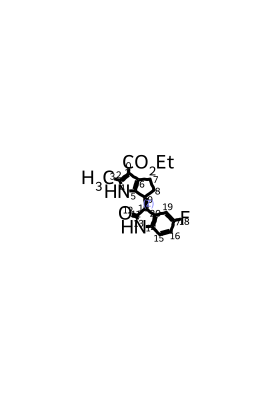 CCOC(=O)c1c(C)[nH]c2c1CC/C2=C1/C(=O)Nc2ccc(F)cc21